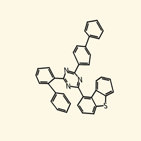 c1ccc(-c2ccc(-c3nc(-c4ccccc4-c4ccccc4)nc(-c4cccc5sc6ccccc6c45)n3)cc2)cc1